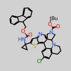 CC(C)(C)OC(=O)N1CCC(N2CCCc3cc(Cl)cc(-c4ccnc5cc(C6(NC(=O)OCC7c8ccccc8-c8ccccc87)CC6)sc45)c32)C1